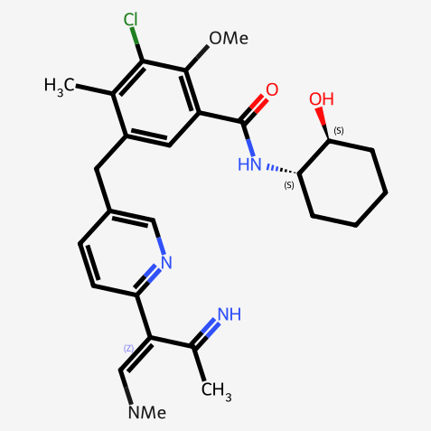 CN/C=C(\C(C)=N)c1ccc(Cc2cc(C(=O)N[C@H]3CCCC[C@@H]3O)c(OC)c(Cl)c2C)cn1